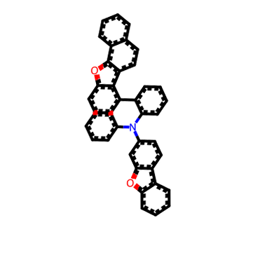 c1ccc(N(c2ccc3c(c2)oc2ccccc23)c2ccccc2-c2cccc3oc4c5ccccc5ccc4c23)cc1